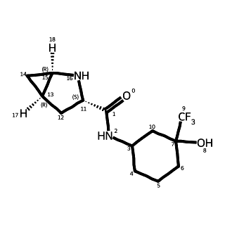 O=C(NC1CCCC(O)(C(F)(F)F)C1)[C@@H]1C[C@H]2C[C@H]2N1